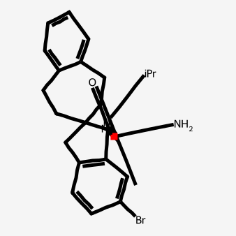 CC(C)N1C(=O)C2(N=C1N)c1cc(Br)ccc1CC21CCc2ccccc2CC1